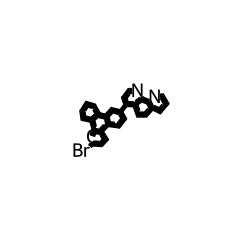 Brc1ccc2c3ccc(-c4ccnc5c4ccc4cccnc45)cc3c3ccccc3c2c1